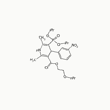 CCCOCCOC(=O)C1=C(C)NC(C)=C(P(=O)(OC(C)C)OC(C)C)C1c1cccc([N+](=O)[O-])c1